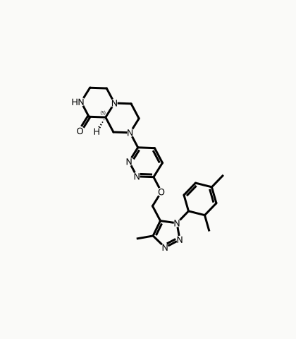 CC1=CC(C)C(n2nnc(C)c2COc2ccc(N3CCN4CCNC(=O)[C@@H]4C3)nn2)C=C1